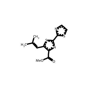 COC(=O)c1nc(-c2nccs2)sc1C=C(C)C